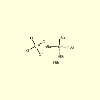 Br.CCCC[N+](CCCC)(CCCC)CCCC.[O-][Cl+3]([O-])([O-])[O-]